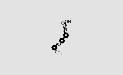 Cc1cccc(COc2ccc(-c3cccc(C=NOCC(=O)O)c3)cc2)c1